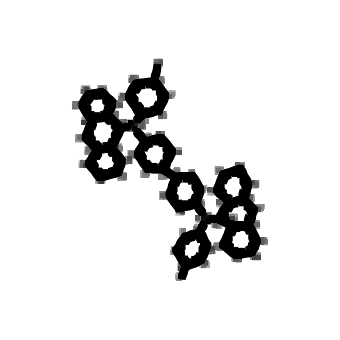 Cc1ccc(N(c2ccc(-c3ccc(N(c4ccc(C)cc4)c4c5ccccc5cc5ccccc45)cc3)cc2)c2c3ccccc3cc3ccccc23)cc1